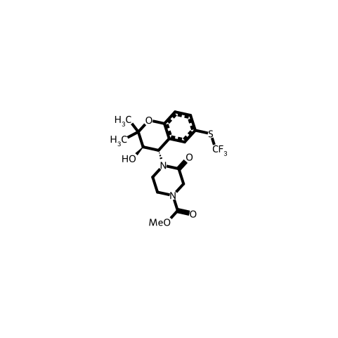 COC(=O)N1CCN([C@H]2c3cc(SC(F)(F)F)ccc3OC(C)(C)[C@@H]2O)C(=O)C1